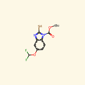 CC(C)(C)OC(=O)n1c(S)nc2cc(OC(F)F)ccc21